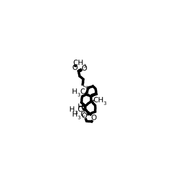 COC(=O)CCC[C@@H]1CCC=C2[C@@]1(C)CC[C@H]1C(C)(C)C3(CC[C@]21C)OCCO3